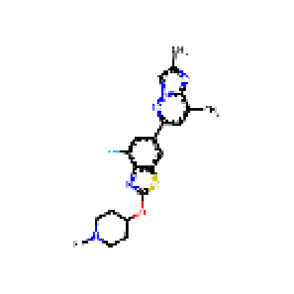 CCN1CCC(Oc2nc3c(F)cc(-c4cc(C)c5nc(C)cn5n4)cc3s2)CC1